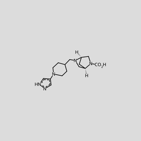 O=C(O)N1C[C@H]2C[C@@H]1CN2CC1CCN(c2cn[nH]c2)CC1